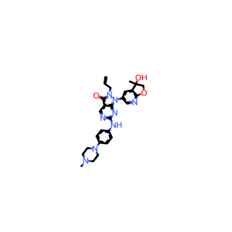 C=CCn1c(=O)c2cnc(Nc3ccc(N4CCN(C)CC4)cc3)nc2n1-c1cnc2c(c1)C(C)(O)CO2